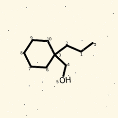 CCCC1(CO)CCCCC1